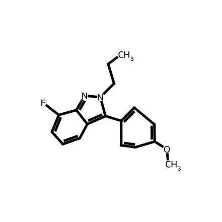 CCCn1nc2c(F)cccc2c1-c1ccc(OC)cc1